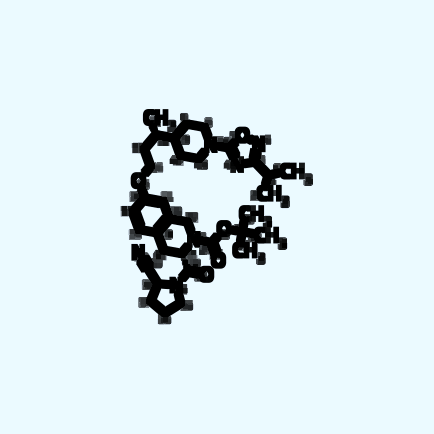 CC(C)c1noc(N2CCC([C@H](C)CCOc3ccc4c(c3)CN(C(=O)OC(C)(C)C)[C@H](C(=O)N3CCCC3C#N)C4)CC2)n1